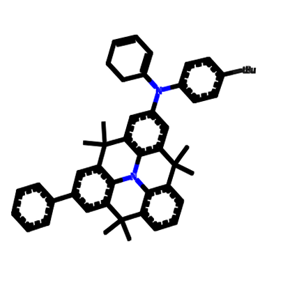 CC(C)(C)c1ccc(N(C2=CC=CCC2)c2cc3c4c(c2)C(C)(C)c2cc(-c5ccccc5)cc5c2N4c2c(cccc2C3(C)C)C5(C)C)cc1